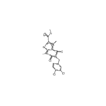 COC(=O)c1nc2c(c(=O)n(Cc3ccc(Cl)c(Cl)c3)c(=O)n2C)n1C